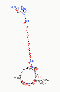 CO[C@H]1C[C@@H]2CC[C@@H](C)[C@@](O)(O2)C(=O)C(=O)N2CCCC[C@H]2C(=O)O[C@H]([C@H](C)C[C@@H]2CC[C@@H](O)[C@H](OC)C2)C[C@@H](O)[C@H](C)/C=C(\C)[C@@H](O)[C@@H](OC)/C(=N/OCC(=O)NCCOCCOCCOCCOCCOCCOCCOCCOCCC(=O)NCCCCn2nc(-c3ccc4oc(N)nc4c3)c3c(N)ncnc32)[C@H](C)C[C@H](C)/C=C/C=C/C=C/1C